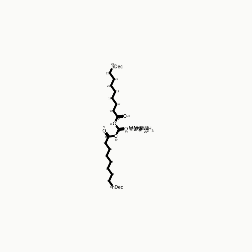 CCCCCCCCCCCCCCCCCC(=O)OC(=O)OC(=O)CCCCCCCCCCCCCCCCC.[AlH3].[AlH3].[MgH2].[MgH2]